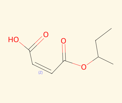 CCC(C)OC(=O)/C=C\C(=O)O